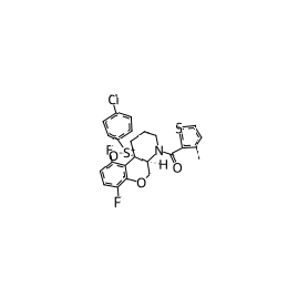 Cc1ccsc1C(=O)N1CCC[C@]2([S+]([O-])c3ccc(Cl)cc3)c3c(F)ccc(F)c3OC[C@H]12